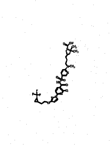 CN(CCCC1CN(C(=O)O)C(C)(C)C1)c1ccc(S(=O)(=O)NC(=O)c2ccc(-n3ccc(OCCC4CC4C(F)(F)F)n3)nc2Cl)cn1